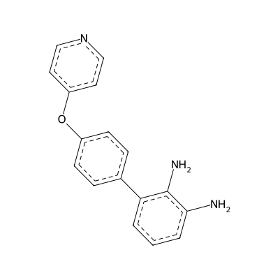 Nc1cccc(-c2ccc(Oc3ccncc3)cc2)c1N